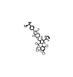 CCOC(=O)C1=C(CN2CCN3C(=O)N(c4ccc(C5(C#N)CC5)cc4)C[C@@H]3C2)NC(c2nccs2)=N[C@H]1c1ccc(Cl)cc1Cl